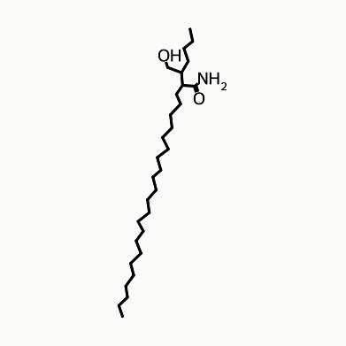 CCCCCCCCCCCCCCCCCCCCCCC(C(N)=O)C(CO)CCCC